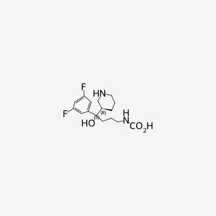 O=C(O)NCCC[C@@](O)(c1cc(F)cc(F)c1)[C@@H]1CCCNC1